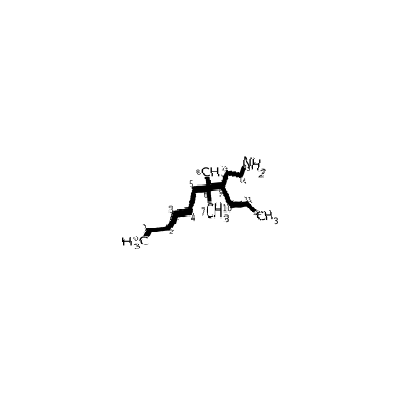 CCCCCCC(C)(C)C(CCC)CCN